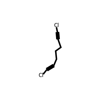 ClC#CCCCC#CCl